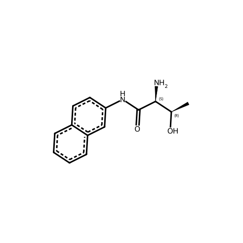 C[C@@H](O)[C@H](N)C(=O)Nc1ccc2ccccc2c1